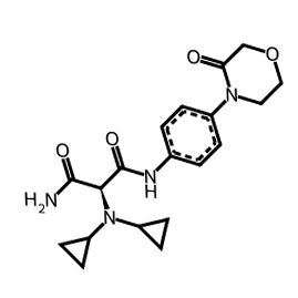 NC(=O)[C@@H](C(=O)Nc1ccc(N2CCOCC2=O)cc1)N(C1CC1)C1CC1